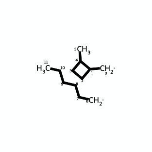 [CH2]C1CCC1C.[CH2]CCCCC